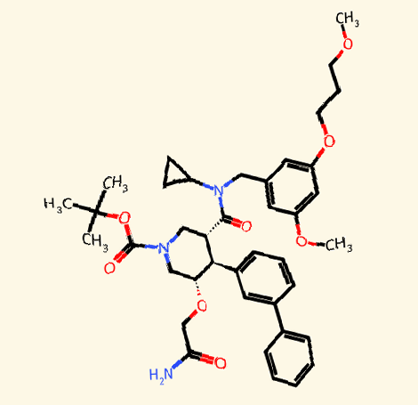 COCCCOc1cc(CN(C(=O)[C@H]2CN(C(=O)OC(C)(C)C)C[C@@H](OCC(N)=O)[C@@H]2c2cccc(-c3ccccc3)c2)C2CC2)cc(OC)c1